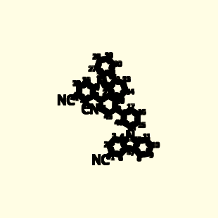 N#Cc1ccc2c(c1)c1ccccc1n2-c1cccc(C2=CCC(c3c(-n4c5ccccc5c5ccccc54)ccc(C#N)c3C#N)C=C2)c1